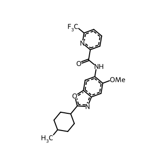 COc1cc2nc(C3CCC(C)CC3)oc2cc1NC(=O)c1cccc(C(F)(F)F)n1